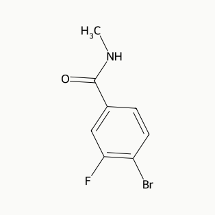 CNC(=O)c1ccc(Br)c(F)c1